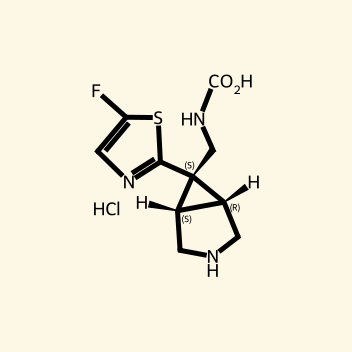 Cl.O=C(O)NC[C@@]1(c2ncc(F)s2)[C@@H]2CNC[C@@H]21